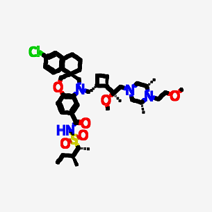 CC[C@H](C)[C@@H](C)S(=O)(=O)NC(=O)c1ccc2c(c1)N(C[C@@H]1CC[C@H]1[C@@](C)(CN1C[C@@H](C)N(CCOC)[C@@H](C)C1)OC)C[C@@]1(CCCc3cc(Cl)ccc31)CO2